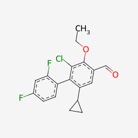 CCOc1c(C=O)cc(C2CC2)c(-c2ccc(F)cc2F)c1Cl